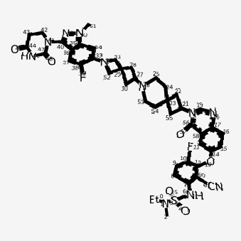 CCN(C)S(=O)(=O)Nc1ccc(F)c(Oc2ccc3ncn(C4CC5(CCN(C6CC7(C6)CN(c6cc8c(cc6F)c(N6CCC(=O)NC6=O)nn8C)C7)CC5)C4)c(=O)c3c2)c1C#N